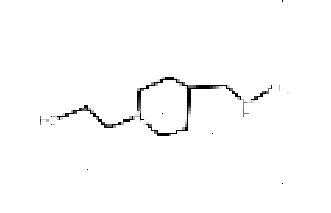 CNCC1CCN(CCO)CC1